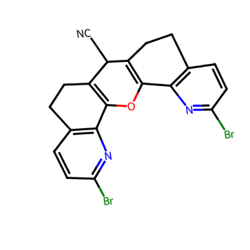 N#CC1C2=C(OC3=C1CCc1ccc(Br)nc13)c1nc(Br)ccc1CC2